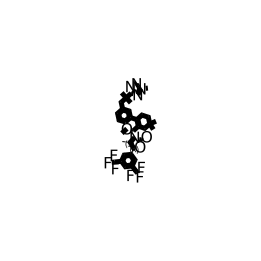 COc1ccc(CC(C)(C)c2nnn(C)n2)cc1C1=C(CN2C(=O)O[C@H](c3cc(C(F)(F)F)cc(C(F)(F)F)c3)[C@@H]2C)CC(C)(C)CC1